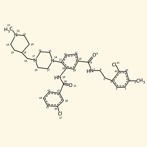 Cc1ccc(CCNC(=O)c2ccc(N3CCN(CC4CCN(C)CC4)CC3)c(NC(=O)c3cccc(Cl)c3)c2)c(Cl)c1